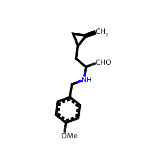 C=C1CC1CC(C=O)NCc1ccc(OC)cc1